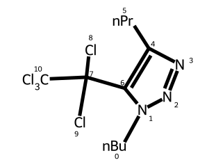 CCCCn1nnc(CCC)c1C(Cl)(Cl)C(Cl)(Cl)Cl